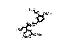 COc1ccc(CCNC(=O)C(CC(C)(C)C)N(C)CC(OC)OC)cc1OCC(F)(F)F